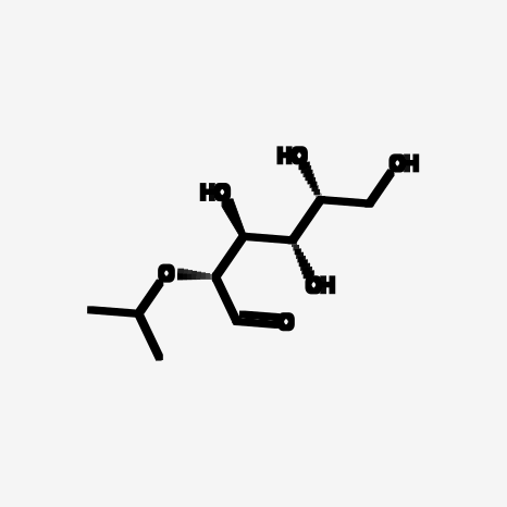 CC(C)O[C@@H](C=O)[C@@H](O)[C@@H](O)[C@H](O)CO